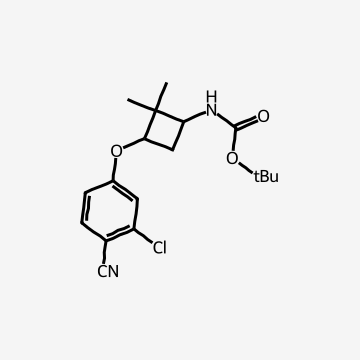 CC(C)(C)OC(=O)NC1CC(Oc2ccc(C#N)c(Cl)c2)C1(C)C